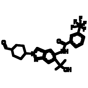 CC(C)(O)c1cc2nn(C3CCC(C=O)CC3)cc2cc1NC(=O)c1cccc(S(F)(F)(F)(F)F)c1